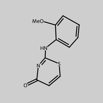 COc1ccccc1Nc1nc(=O)ccs1